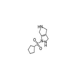 O=S(=O)(C1CCCC1)N1NCC2=C1CNC2